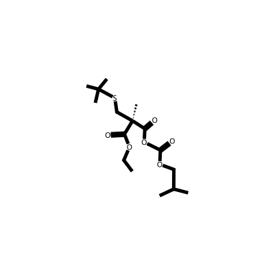 CCOC(=O)[C@@](C)(CSC(C)(C)C)C(=O)OC(=O)OCC(C)C